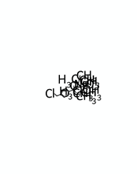 CC(ON(C(C(C)(C)C)P(=O)(O)O)C(C)(C)C)c1ccc(CCl)cc1